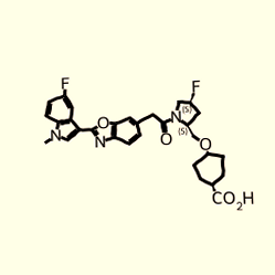 Cn1cc(-c2nc3ccc(CC(=O)N4C[C@@H](F)C[C@H]4CO[C@H]4CC[C@H](C(=O)O)CC4)cc3o2)c2cc(F)ccc21